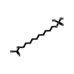 O=P(O)(O)OCCCCCCCCCCNC(=S)S